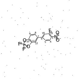 O=[N+]([O-])c1ccc(-c2ccc3c(c2)OC(F)(F)O3)cc1F